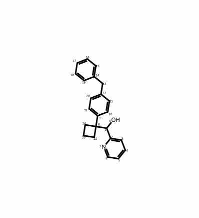 OC(c1ccccn1)C1(c2ccc(Cc3ccccc3)cc2)CCC1